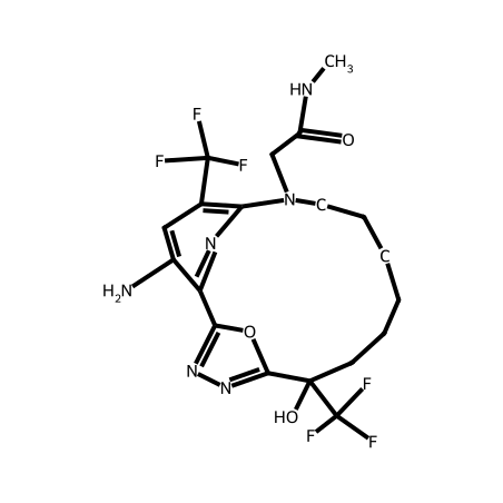 CNC(=O)CN1CCCCCCC(O)(C(F)(F)F)c2nnc(o2)-c2nc1c(C(F)(F)F)cc2N